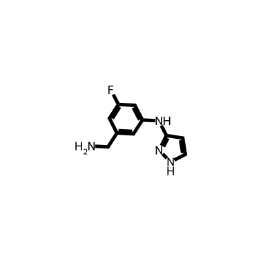 NCc1cc(F)cc(Nc2cc[nH]n2)c1